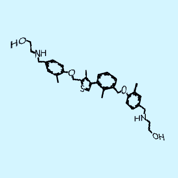 Cc1cc(CNCCO)ccc1OCc1cccc(-c2csc(COc3ccc(CNCCO)cc3C)c2C)c1C